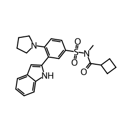 CN(C(=O)C1CCC1)S(=O)(=O)c1ccc(N2CCCC2)c(-c2cc3ccccc3[nH]2)c1